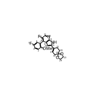 COc1ccc(F)cc1-c1c(F)cnc2[nH]c(C3=CCC4(CC3)OCCO4)cc12